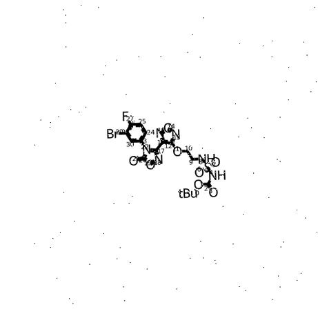 CC(C)(C)OC(=O)NS(=O)(=O)NCCOc1nonc1-c1noc(=O)n1-c1ccc(F)c(Br)c1